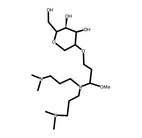 COC(CCOC1COC(CO)[C@@H](O)C1O)N(CCCN(C)C)CCCN(C)C